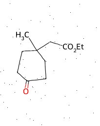 CCOC(=O)CC1(C)CCC(=O)CC1